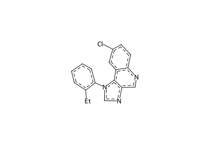 CCc1ccccc1-n1cnc2cnc3ccc(Cl)cc3c21